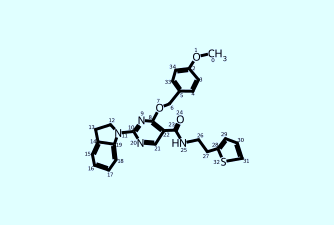 COc1ccc(COc2nc(N3CCc4ccccc43)ncc2C(=O)NCCc2cccs2)cc1